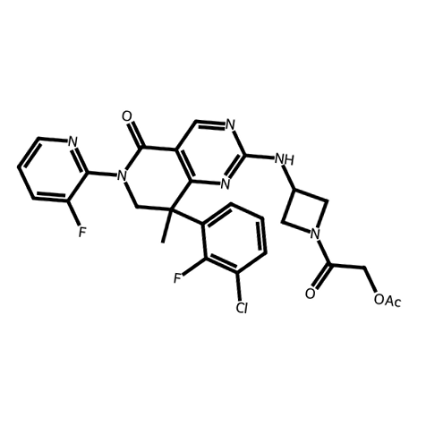 CC(=O)OCC(=O)N1CC(Nc2ncc3c(n2)C(C)(c2cccc(Cl)c2F)CN(c2ncccc2F)C3=O)C1